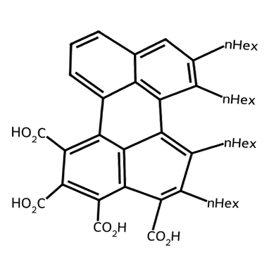 CCCCCCc1cc2cccc3c4c(C(=O)O)c(C(=O)O)c(C(=O)O)c5c(C(=O)O)c(CCCCCC)c(CCCCCC)c(c(c1CCCCCC)c23)c54